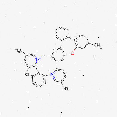 Cc1ccc2c(c1)Oc1cc3c(cc1-c1ccccc1-2)C[n+]1cc(C)cc(C)c1-c1ccccc1-[n+]1cc(C(C)(C)C)ccc1-3